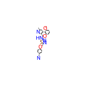 COc1ccccc1-c1cc(C)ncc1C(=O)Nc1nnc(COc2ccc(C#N)cc2)s1